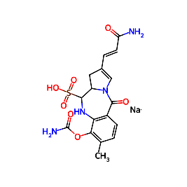 Cc1ccc2c(c1OC(N)=O)NC(S(=O)(=O)O)C1CC(C=CC(N)=O)=CN1C2=O.[Na]